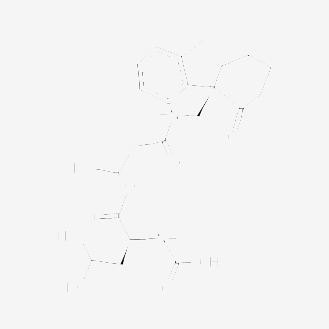 CC(=O)N[C@@H](CC(C)C)C(=O)OC(C)OC(=O)NC[C@@]1(c2ccccc2Cl)CCCCC1=O